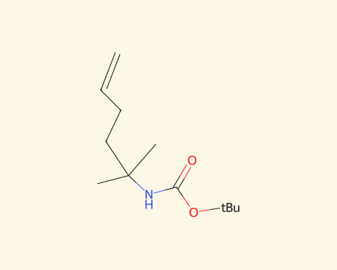 C=CCCC(C)(C)NC(=O)OC(C)(C)C